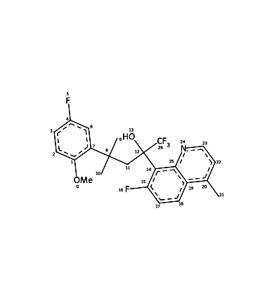 COc1ccc(F)cc1C(C)(C)CC(O)(c1c(F)ccc2c(C)ccnc12)C(F)(F)F